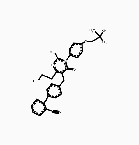 CCCc1nc(C)n(-c2ccc(OCC(C)(C)O)cc2)c(=O)c1Cc1ccc(-c2ccccc2C#N)cc1